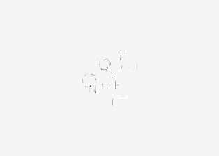 O=C(O)c1csc(-c2cccnc2OCC(F)(F)F)n1